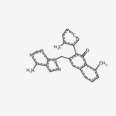 Cc1ccccc1-n1c(Cn2ncc3c(N)ncnc32)cc2cccc(C)c2c1=O